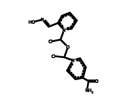 NC(=O)c1cc[n+](C(Cl)OC(Cl)[n+]2ccccc2C=NO)cc1